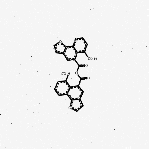 O=C(O)c1cccc2c1c(C(=O)OC(=O)c1cc3ccoc3c3cccc(C(=O)O)c13)cc1ccoc12